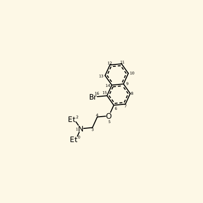 CCN(CC)CCOc1ccc2ccccc2c1Br